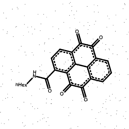 CCCCCCNC(=O)c1ccc2c3c1c(=O)c(=O)c1cccc(c1-3)c(=O)c2=O